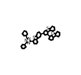 c1ccc(-c2nc(-c3ccccc3)nc(-c3cccc4c3sc3ccc(-c5cc(-c6cccc7c6oc6ccccc67)c6c(c5)sc5ccccc56)cc34)n2)cc1